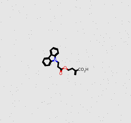 C=C(CCOC(=O)CCn1c2ccccc2c2ccccc21)C(=O)O